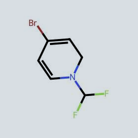 FC(F)N1C=CC(Br)=CC1